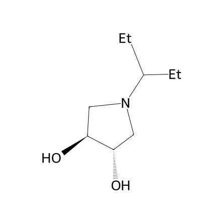 CCC(CC)N1C[C@H](O)[C@@H](O)C1